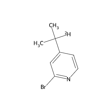 [2H]C(C)(C)c1ccnc(Br)c1